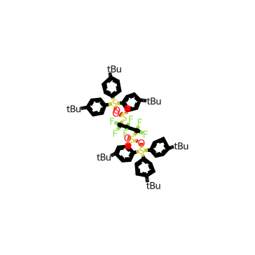 CC(C)(C)c1ccc(S(OS(=O)(=O)C(F)(F)C(F)(F)C(F)(F)S(=O)(=O)OS(c2ccc(C(C)(C)C)cc2)(c2ccc(C(C)(C)C)cc2)c2ccc(C(C)(C)C)cc2)(c2ccc(C(C)(C)C)cc2)c2ccc(C(C)(C)C)cc2)cc1